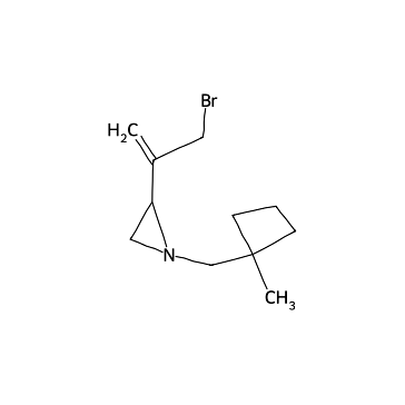 C=C(CBr)C1CN1CC1(C)CCC1